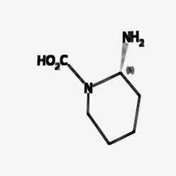 N[C@@H]1CCCCN1C(=O)O